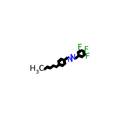 CCC=CCCc1ccc(C=NN=Cc2cc(F)c(F)c(F)c2)cc1